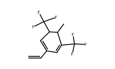 C=CC1=CC(C(F)(F)F)C(C)C(C(F)(F)F)=C1